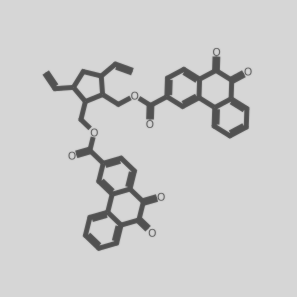 C=CC1CC(C=C)C(COC(=O)c2ccc3c(c2)-c2ccccc2C(=O)C3=O)C1COC(=O)c1ccc2c(c1)-c1ccccc1C(=O)C2=O